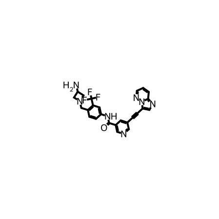 NC1CN(Cc2ccc(NC(=O)c3cncc(C#Cc4cnc5cccnn45)c3)cc2C(F)(F)F)C1